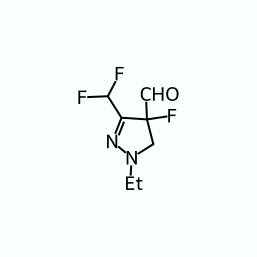 CCN1CC(F)(C=O)C(C(F)F)=N1